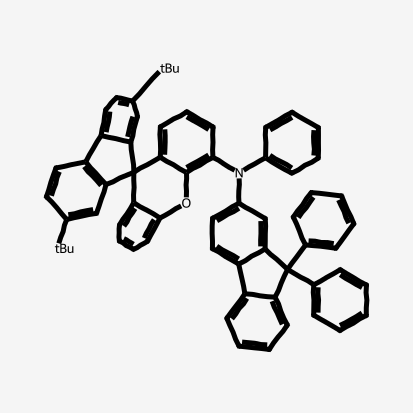 CC(C)(C)c1ccc2c(c1)C1(c3ccccc3Oc3c(N(c4ccccc4)c4ccc5c(c4)C(c4ccccc4)(c4ccccc4)c4ccccc4-5)cccc31)c1cc(C(C)(C)C)ccc1-2